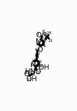 CN(C(=O)c1ccc(OCC#Cc2cnc(C(=O)NCC(=O)O)c(O)c2)cn1)C(C)(C)C